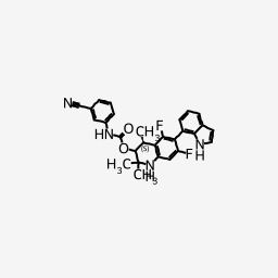 C[C@H]1c2c(cc(F)c(-c3cccc4cc[nH]c34)c2F)NC(C)(C)C1OC(=O)Nc1cccc(C#N)c1